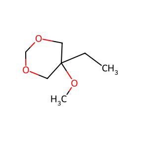 CCC1(OC)COCOC1